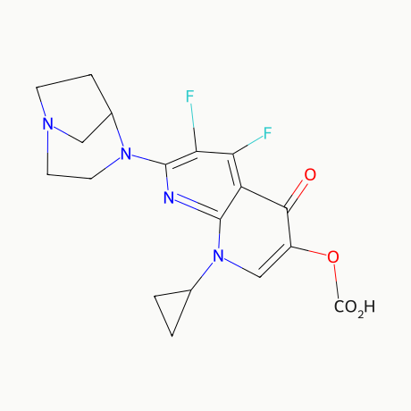 O=C(O)Oc1cn(C2CC2)c2nc(N3CCN4CCC3C4)c(F)c(F)c2c1=O